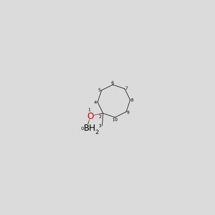 BOC1(C)CCCCCCC1